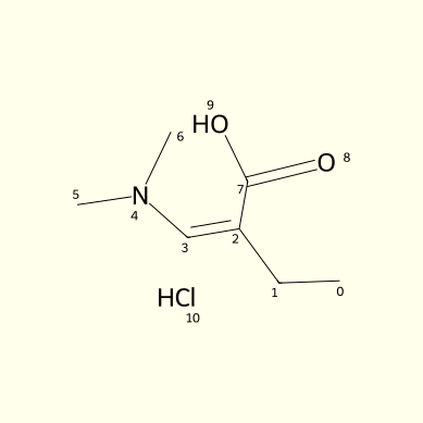 CCC(=CN(C)C)C(=O)O.Cl